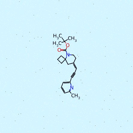 Cc1cccc(C#CC=C2CCN(C(=O)OC(C)(C)C)C3(CCC3)C2)n1